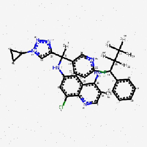 [2H]C(Nc1cc(Cl)c2ncc(C#N)c(NC(c3ccccc3)C([2H])([2H])C([2H])([2H])[2H])c2c1)(c1ccc(F)nc1)c1cn(C2CC2)nn1